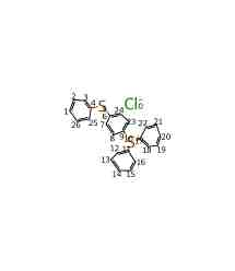 [Cl-].c1ccc(Sc2ccc([S+](c3ccccc3)c3ccccc3)cc2)cc1